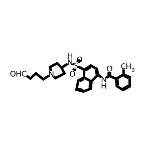 Cc1ccccc1C(=O)Nc1ccc(S(=O)(=O)NC2CCN(CCCC=O)CC2)c2ccccc12